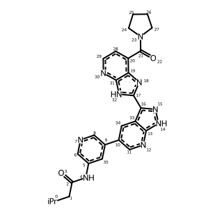 CC(C)CC(=O)Nc1cncc(-c2cnc3[nH]nc(-c4nc5c(C(=O)N6CCCC6)ccnc5[nH]4)c3c2)c1